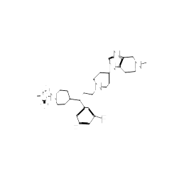 CN1CCc2c(ncn2C2CCN(CC[C@@H](c3cc(F)cc(F)c3)C3CCN(S(C)(=O)=O)CC3)CC2)C1